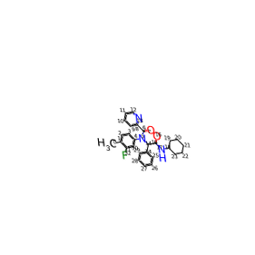 Cc1ccc(N(C(=O)c2ccccn2)C(C(=O)NC2CCCCC2)c2ccccc2)cc1F